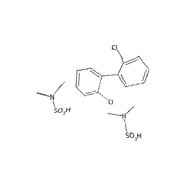 CN(C)S(=O)(=O)O.CN(C)S(=O)(=O)O.Clc1ccccc1-c1ccccc1Cl